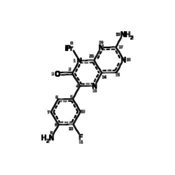 CC(C)n1c(=O)c(-c2ccc(N)c(F)c2)nc2cnc(N)nc21